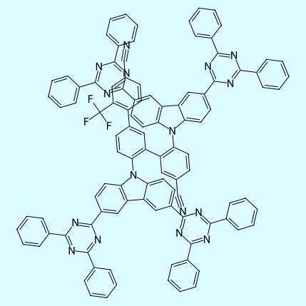 N#Cc1ccc(-n2c3ccc(-c4nc(-c5ccccc5)nc(-c5ccccc5)n4)cc3c3cc(-c4nc(-c5ccccc5)nc(-c5ccccc5)n4)ccc32)c(-c2cc(-c3ccc(C#N)cc3C(F)(F)F)ccc2-n2c3ccc(-c4nc(-c5ccccc5)nc(-c5ccccc5)n4)cc3c3cc(-c4nc(-c5ccccc5)nc(-c5ccccc5)n4)ccc32)c1